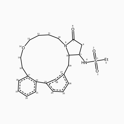 CCS(=O)(=O)NC1CC(=O)N2CCCCOCCc3ccccc3-c3cccc(c3)CC12